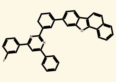 Fc1cccc(-c2cc(-c3ccccc3)nc(C3=CC(c4ccc5c(c4)oc4c6ccccc6ccc54)=CCC3)n2)c1